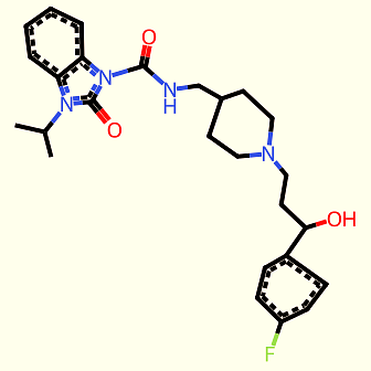 CC(C)n1c(=O)n(C(=O)NCC2CCN(CCC(O)c3ccc(F)cc3)CC2)c2ccccc21